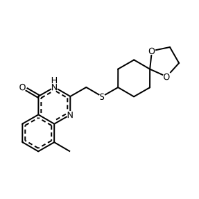 Cc1cccc2c(=O)[nH]c(CSC3CCC4(CC3)OCCO4)nc12